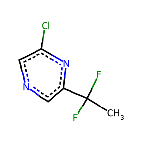 CC(F)(F)c1cncc(Cl)n1